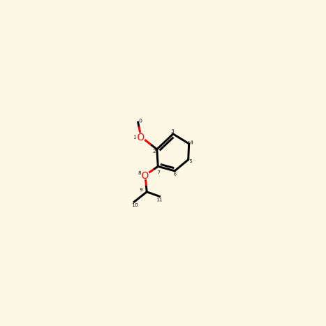 COC1=C[CH]CC=C1OC(C)C